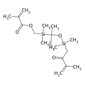 C=C(C)C(=O)C[Si](C)(C)OC(C)(C)[Si](C)(C)COC(=O)C(=C)C